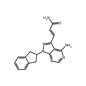 NC(=O)/C=C/c1nn(C2Cc3ccccc3C2)c2ncnc(N)c12